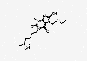 CCOCn1c(S)nc2c1c(=O)n(CCCCC(C)O)c(=O)n2C